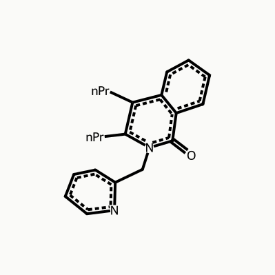 CCCc1c(CCC)n(Cc2ccccn2)c(=O)c2ccccc12